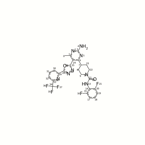 Cc1nc(N)nc(C2CCN(C(=O)Nc3c(F)cccc3F)CC2)c1-c1nnc(-c2cccc(C(F)(F)F)n2)o1